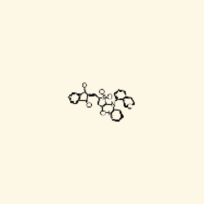 CC1=C(N(C2=CC=C=C=C2)c2cccc3ccccc23)S(=O)(=O)C(C=C2C(=O)c3ccccc3C2=O)=C1